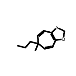 CCCC1(C)C=CC2=C(C=C1)SCO2